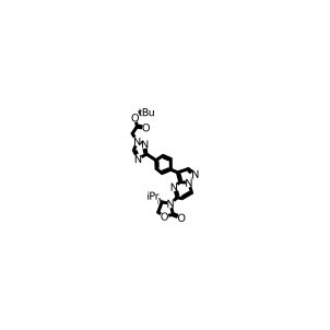 CC(C)[C@H]1COC(=O)N1c1ccn2ncc(-c3ccc(-c4ncn(CC(=O)OC(C)(C)C)n4)cc3)c2n1